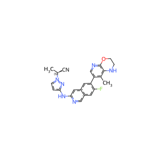 Cc1c(-c2cc3cc(Nc4ccn([C@@H](C)C#N)n4)ncc3cc2F)cnc2c1NCCO2